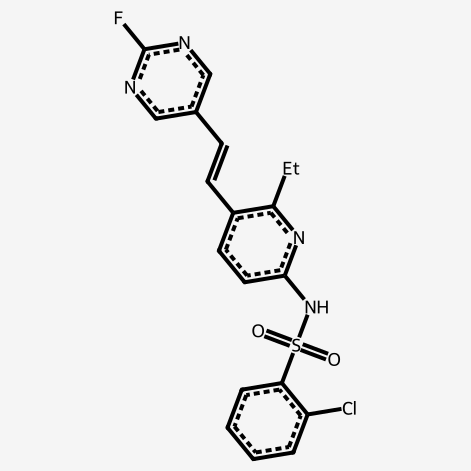 CCc1nc(NS(=O)(=O)c2ccccc2Cl)ccc1/C=C/c1cnc(F)nc1